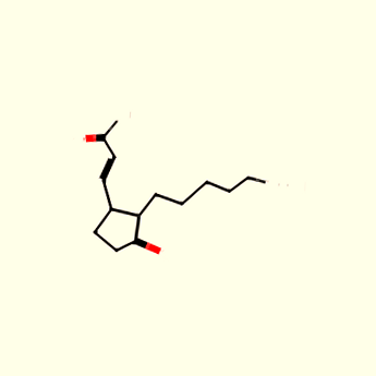 CCC(=O)C=CC1CCC(=O)C1CCCCCC(=O)O